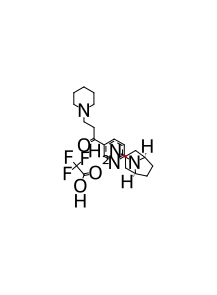 N[C@H]1C[C@H]2CC[C@@H](C1)N2c1ccc(C(=O)CCN2CCCCC2)cn1.O=C(O)C(F)(F)F